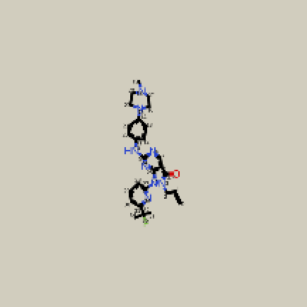 C=CCn1c(=O)c2cnc(Nc3ccc(N4CCN(C)CC4)cc3)nc2n1-c1cccc(C(C)(C)F)n1